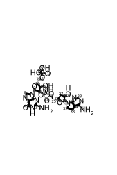 Nc1nc2c(ncn2[C@@H]2O[C@H](COP(=O)(O)O)[C@@H](O)[C@H]2OP(=O)(O)OC[C@@H]2C[C@@H](O)[C@H](n3ccc4c(N)ncnc43)O2)c(=O)[nH]1